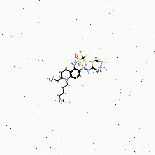 C=C(N=Nc1ccc2c(c1NS(=O)(=O)C(F)(F)F)CCC(CC)N2CCCCC)S/C=N\N